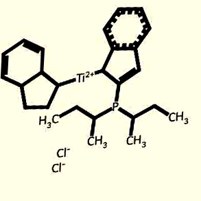 CCC(C)P(C1=Cc2ccccc2[CH]1[Ti+2][CH]1CCC2C=CC=CC21)C(C)CC.[Cl-].[Cl-]